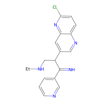 CCNCC(C(=N)c1cccnc1)c1cnc2ccc(Cl)nc2c1